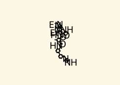 CCc1nc2c(cnn2CC)c(NC2CCOCC2)c1CNC(=O)c1cc(C)cc(C(=O)NCc2cccc(-c3cccc(CN4CCNCC4)c3)c2)c1